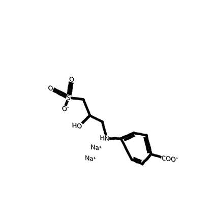 O=C([O-])c1ccc(NCC(O)CS(=O)(=O)[O-])cc1.[Na+].[Na+]